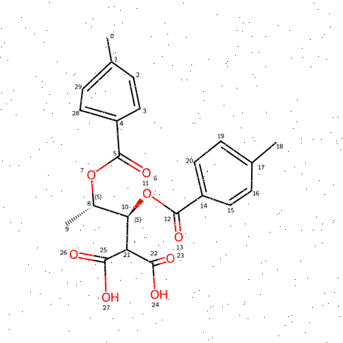 Cc1ccc(C(=O)O[C@@H](C)[C@@H](OC(=O)c2ccc(C)cc2)C(C(=O)O)C(=O)O)cc1